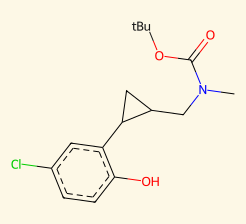 CN(CC1CC1c1cc(Cl)ccc1O)C(=O)OC(C)(C)C